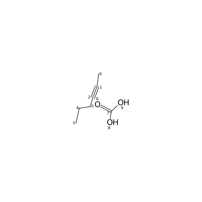 CC#CCCC.O=C(O)O